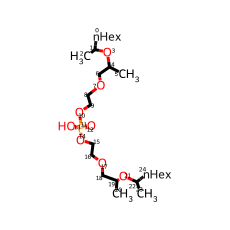 CCCCCCC(C)OC(C)COCCOP(=O)(O)OCCOCC(C)OC(C)CCCCCC